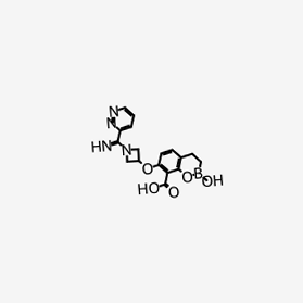 N=C(c1cccnn1)N1CC(Oc2ccc3c(c2C(=O)O)OB(O)CC3)C1